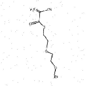 C=C(C#N)C(=O)OCCOCCOC(C)CC